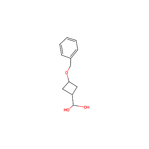 OC(O)C1CC(OCc2ccccc2)C1